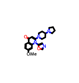 COc1ccc2c(=O)cc(N3CCC(N4CCCC4)CC3)n(-c3cnco3)c2c1